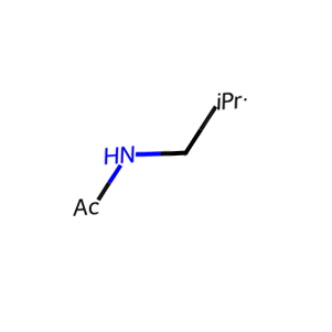 C[C](C)CNC(C)=O